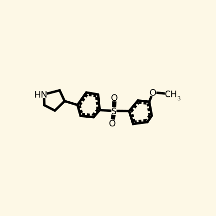 COc1cccc(S(=O)(=O)c2ccc(C3CCNC3)cc2)c1